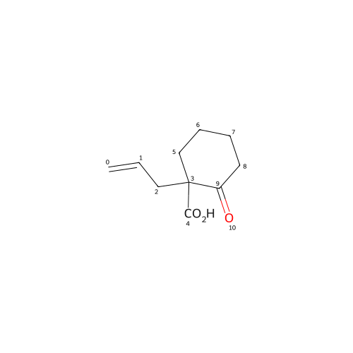 C=CCC1(C(=O)O)CCCCC1=O